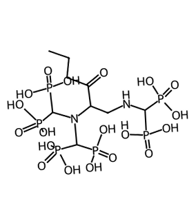 CCCC(=O)C(CNC(P(=O)(O)O)P(=O)(O)O)N(C(P(=O)(O)O)P(=O)(O)O)C(P(=O)(O)O)P(=O)(O)O